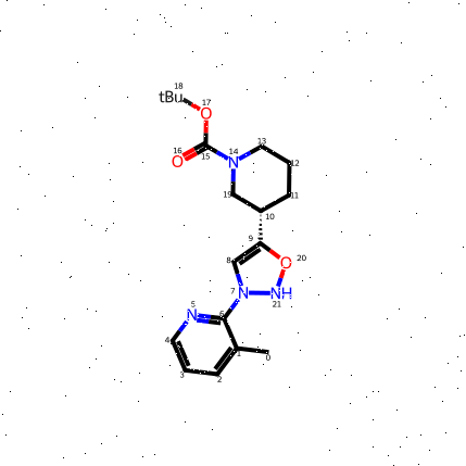 Cc1cccnc1N1C=C([C@H]2CCCN(C(=O)OC(C)(C)C)C2)ON1